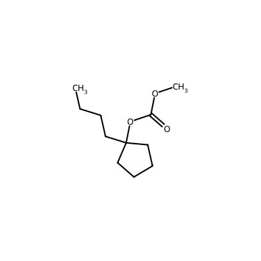 CCCCC1(OC(=O)OC)CCCC1